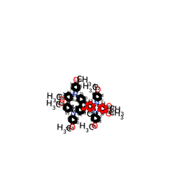 COc1ccc(N(c2ccc(OC)cc2)c2ccc(-c3ccc(N(c4ccc(OC)cc4)c4ccc(OC)cc4)cc3-c3cc(N(c4ccc(OC)cc4)c4ccc(OC)cc4)ccc3-c3ccc(N(c4ccc(OC)cc4)c4ccc(OC)cc4)cc3C)c(C)c2)cc1